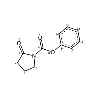 O=C1CCCN1C(=O)Oc1ccccc1